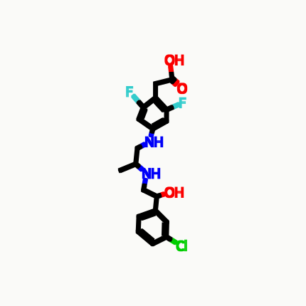 CC(CNc1cc(F)c(CC(=O)O)c(F)c1)NCC(O)c1cccc(Cl)c1